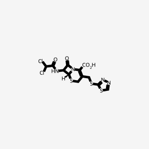 O=C(O)C1=C(CSc2nncs2)CS[C@@H]2C(NC(=O)C(Cl)Cl)C(=O)N12